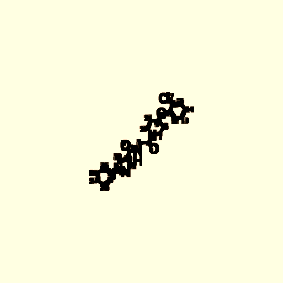 O=C(NCC(=O)N1CCC(Oc2ccccc2Cl)CC1)c1cnn(-c2ccccc2)c1